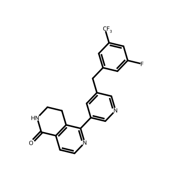 O=C1NCCc2c1ccnc2-c1cncc(Cc2cc(F)cc(C(F)(F)F)c2)c1